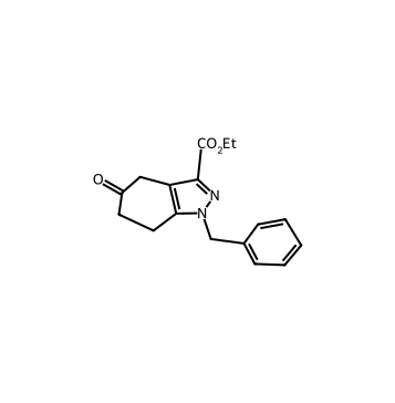 CCOC(=O)c1nn(Cc2ccccc2)c2c1CC(=O)CC2